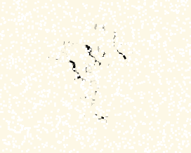 C=CC[N+](C)(C)CC=C.CC[N+](C)(CC)CCOC.CC[N+](C)(CC)CCOC.F[B-](F)(F)F.O=S(=O)(O)C(F)(F)F